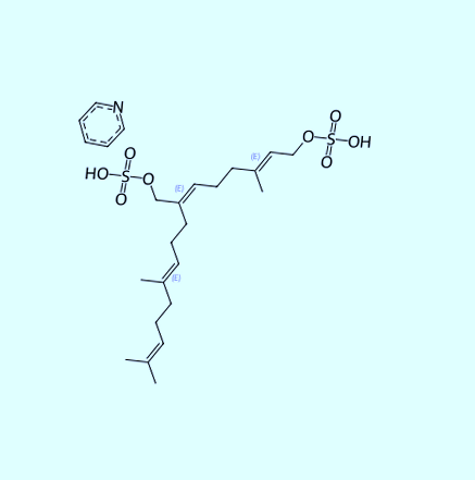 CC(C)=CCC/C(C)=C/CC/C(=C\CC/C(C)=C/COS(=O)(=O)O)COS(=O)(=O)O.c1ccncc1